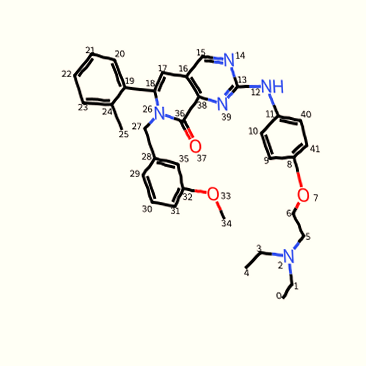 CCN(CC)CCOc1ccc(Nc2ncc3cc(-c4ccccc4C)n(Cc4cccc(OC)c4)c(=O)c3n2)cc1